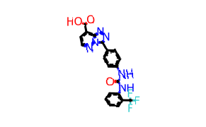 O=C(Nc1ccc(-c2nnc3c(C(=O)O)ccnn23)cc1)Nc1ccccc1C(F)(F)F